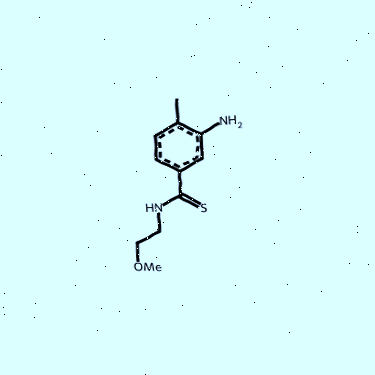 COCCNC(=S)c1ccc(C)c(N)c1